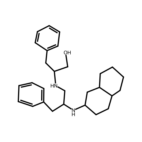 OCC(Cc1ccccc1)NCC(Cc1ccccc1)NC1CCC2CCCCC2C1